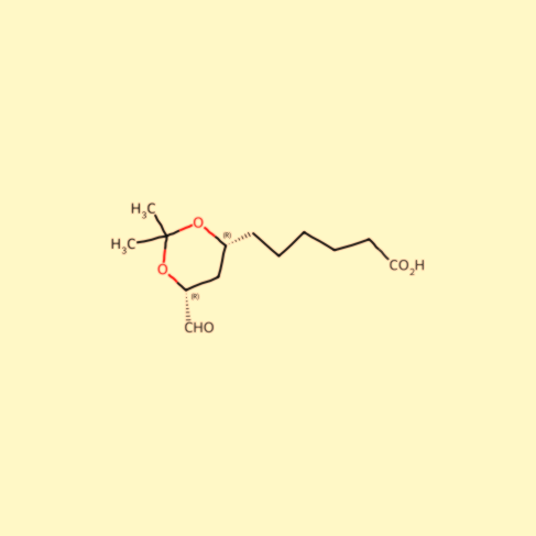 CC1(C)O[C@H](CCCCCC(=O)O)C[C@H](C=O)O1